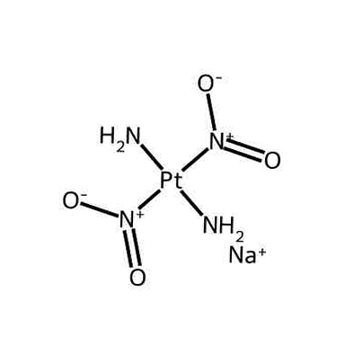 [NH2][Pt]([NH2])([N+](=O)[O-])[N+](=O)[O-].[Na+]